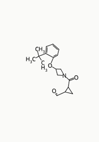 CC(C)(C)c1ccccc1OC1CN(C(=O)C2CC2C=O)C1